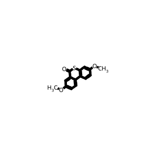 COc1ccc2c(c1)sc(=O)c1cc(OC)ccc12